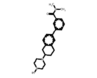 CC(C)N1CCN(C2CCc3cc(-c4cccc(C(=O)N(C)C)c4)ccc3C2)CC1